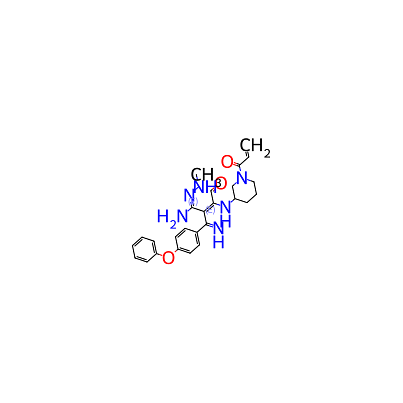 C=CC(=O)N1CCCC(N/C(C=O)=C(C(=N)c2ccc(Oc3ccccc3)cc2)/C(N)=N\NC)C1